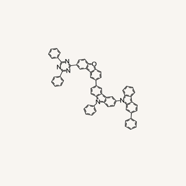 c1ccc(-c2ccc3c4ccccc4n(-c4ccc5c(c4)c4cc(-c6ccc7oc8ccc(-c9nc(-c%10ccccc%10)nc(-c%10ccccc%10)n9)cc8c7c6)ccc4n5-c4ccccc4)c3c2)cc1